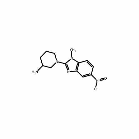 Cn1c(N2CCCC(N)C2)nc2cc([N+](=O)[O-])ccc21